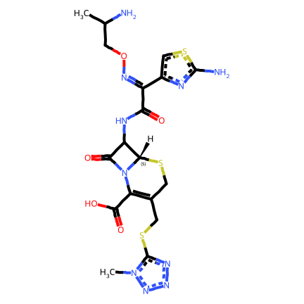 CC(N)CON=C(C(=O)NC1C(=O)N2C(C(=O)O)=C(CSc3nnnn3C)CS[C@@H]12)c1csc(N)n1